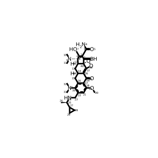 B=C1C(C(N)=O)=C(O)[C@@H](N(C)C)[C@@H]2C[C@@H]3Cc4c(c(OC)cc(CN[C@H](C)C5CC5)c4N(C)C)C(=O)C3=C3OO[C@]132